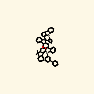 CC1(C)c2ccccc2-c2c(N(c3cccc(-c4ccccc4)c3)c3ccccc3-c3ccc4c(c3)C3(c5ccccc5-4)c4ccccc4-n4c5ccccc5c5cccc3c54)cccc21